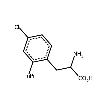 CCCc1cc(Cl)ccc1CC(N)C(=O)O